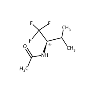 CC(=O)N[C@H](C(C)C)C(F)(F)F